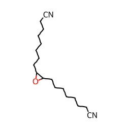 N#CCCCCCCCC1OC1CCCCCCCC#N